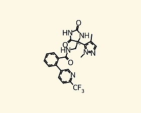 Cc1cnn(C)c1[C@@]1(CNC(=O)c2ccccc2-c2ccc(C(F)(F)F)nc2)NC(=O)NC1=O